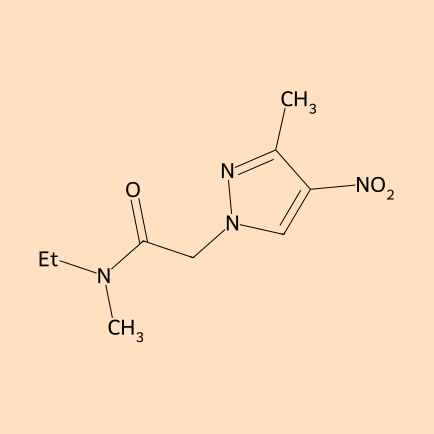 CCN(C)C(=O)Cn1cc([N+](=O)[O-])c(C)n1